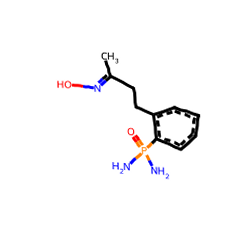 CC(CCc1ccccc1P(N)(N)=O)=NO